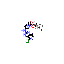 CC(C)(C)OC(=O)N1CC[C@@H](Nc2ncc3c(Cl)ncc(I)c3n2)C1